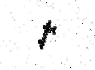 CCCC(=O)CCCSCCC(SCC(C)C)C(=O)CCC